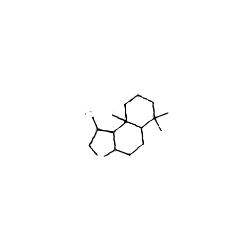 CCC1COC2CCC3C(C)(C)CCCC3(C)C12